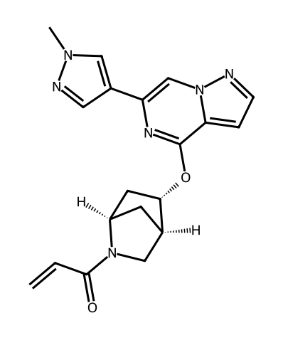 C=CC(=O)N1C[C@H]2C[C@@H]1C[C@@H]2Oc1nc(-c2cnn(C)c2)cn2nccc12